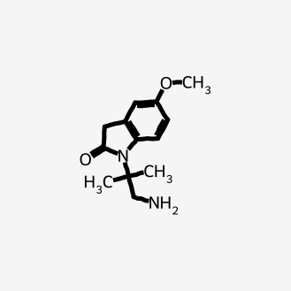 COc1ccc2c(c1)CC(=O)N2C(C)(C)CN